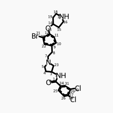 O=C(NC1CCN(CCc2ccc(OC3CCNCC3)c(Br)c2)C1)c1ccc(Cl)c(Cl)c1